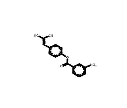 N#CC(C#N)=Cc1ccc(OC(=O)c2cccc([N+](=O)[O-])c2)cc1